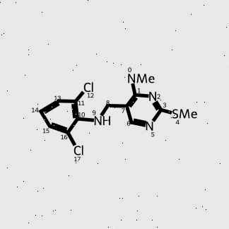 CNc1nc(SC)ncc1CNc1c(Cl)cccc1Cl